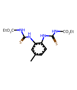 CCOC(=O)NC(=S)Nc1ccc(C)cc1NC(=S)NC(=O)OCC